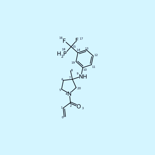 C=CC(=O)N1CCC(C)(Nc2cccc(C(F)(F)P)c2)C1